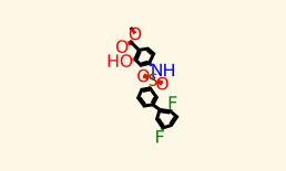 COC(=O)c1ccc(NS(=O)(=O)c2cccc(-c3cc(F)ccc3F)c2)cc1O